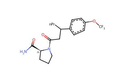 CCCC(CC(=O)N1CCC[C@H]1C(N)=O)c1ccc(OC(F)(F)F)cc1